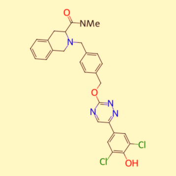 CNC(=O)C1Cc2ccccc2CN1Cc1ccc(COc2ncc(-c3cc(Cl)c(O)c(Cl)c3)nn2)cc1